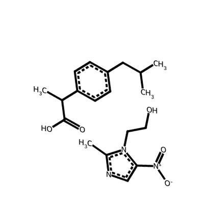 CC(C)Cc1ccc(C(C)C(=O)O)cc1.Cc1ncc([N+](=O)[O-])n1CCO